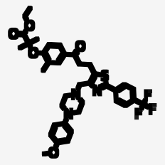 CCOC(=O)C(C)(C)Oc1ccc(C(=O)CCc2sc(-c3ccc(C(F)(F)F)cc3)nc2CN2CCN(c3ccc(OC)cc3)CC2)cc1C